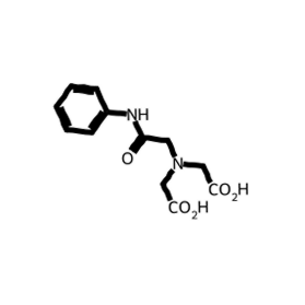 O=C(O)CN(CC(=O)O)CC(=O)Nc1ccccc1